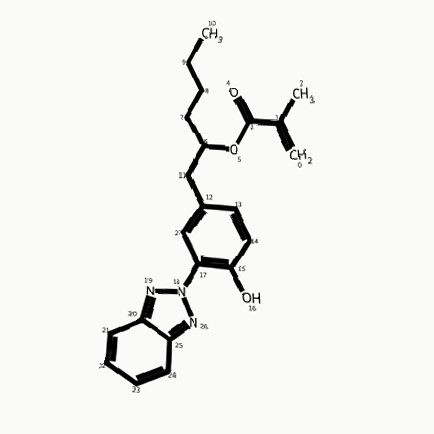 C=C(C)C(=O)OC(CCCC)Cc1ccc(O)c(-n2nc3ccccc3n2)c1